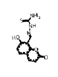 NC(=S)NN=Cc1c(O)ccc2ccc(=O)oc12